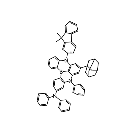 CC1(C)c2ccccc2-c2ccc(N3c4ccccc4B4c5ccc(N(c6ccccc6)c6ccccc6)cc5N(c5ccccc5)c5cc(C67CC8CC(CC(C8)C6)C7)cc3c54)cc21